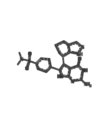 CN(C)S(=O)(=O)c1ccc(-c2[nH]c3nc(N)[nH]c(=O)c3c2-c2cccc3cn[nH]c23)cc1